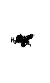 Cc1c(C(=O)NCC2(O)CC[S+]([O-])CC2)cc(-c2cc(C(C)(C)C)c3c(c2)C2(CCO3)CC2)n1CC1CCCCC1